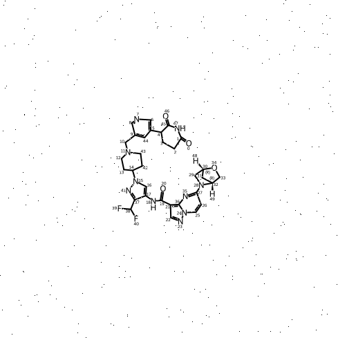 O=C1CCC(c2cncc(CN3CCC(n4cc(NC(=O)c5cnn6ccc(N7C[C@H]8C[C@@H]7CO8)nc56)c(C(F)F)n4)CC3)c2)C(=O)N1